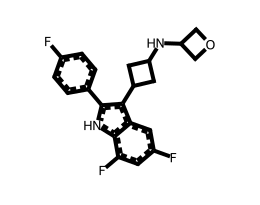 Fc1ccc(-c2[nH]c3c(F)cc(F)cc3c2C2CC(NC3COC3)C2)cc1